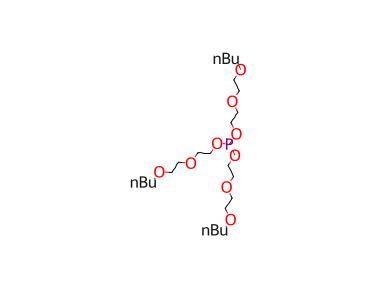 CCCCOCCOCCOP(OCCOCCOCCCC)OCCOCCOCCCC